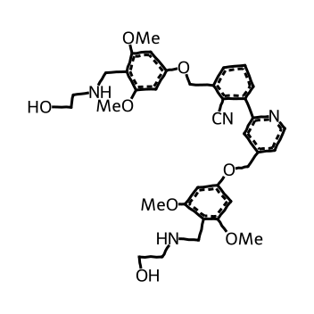 COc1cc(OCc2ccnc(-c3cccc(COc4cc(OC)c(CNCCO)c(OC)c4)c3C#N)c2)cc(OC)c1CNCCO